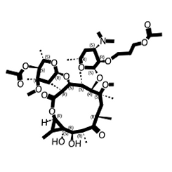 CO[C@]1(C)C[C@H](O[C@H]2[C@H](C)[C@@H](O[C@@H]3O[C@H](C)C[C@H](N(C)C)[C@H]3OCCCOC(C)=O)[C@@](C)(OC)C[C@@H](C)C(=O)[C@H](C)[C@@H](O)[C@@]3(O)C(C)[C@H]3OC(=O)[C@@H]2C)O[C@@H](C)[C@@H]1OC(C)=O